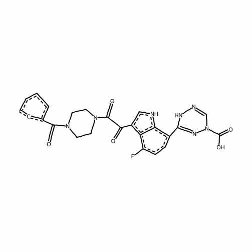 O=C(C(=O)N1CCN(C(=O)c2ccccc2)CC1)c1c[nH]c2c(C3=NN(C(=O)O)C=NN3)ccc(F)c12